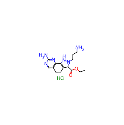 CCOC(=O)C1C2=C(NN1CCCN)c1nc(N)ncc1CC2.Cl